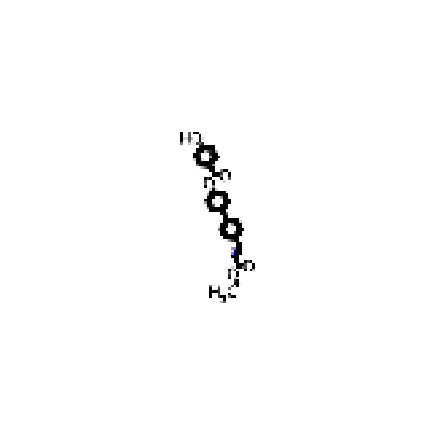 CCOC(=O)/C=C/c1ccc(-c2ccc(OC(=O)c3ccc(O)cc3)cc2)cc1